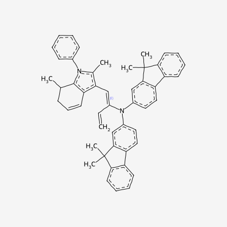 C=C/C(=C\c1c2c(n(-c3ccccc3)c1C)C(C)CC=C2)N(c1ccc2c(c1)C(C)(C)c1ccccc1-2)c1ccc2c(c1)C(C)(C)c1ccccc1-2